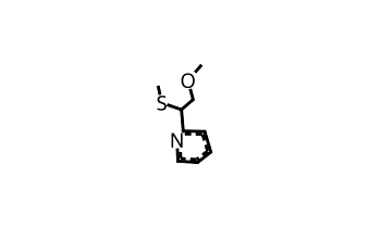 COCC(SC)c1ccccn1